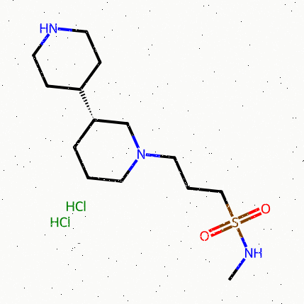 CNS(=O)(=O)CCCN1CCC[C@H](C2CCNCC2)C1.Cl.Cl